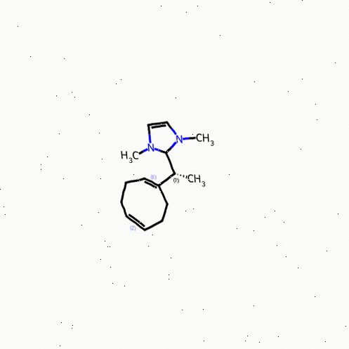 C[C@H](/C1=C/CC/C=C\CC1)C1N(C)C=CN1C